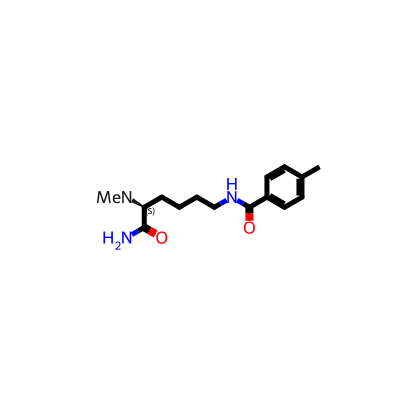 CN[C@@H](CCCCNC(=O)c1ccc(C)cc1)C(N)=O